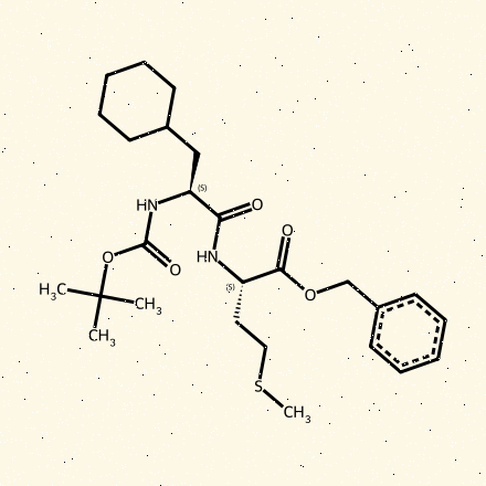 CSCC[C@H](NC(=O)[C@H](CC1CCCCC1)NC(=O)OC(C)(C)C)C(=O)OCc1ccccc1